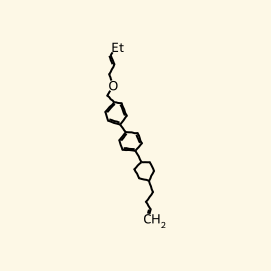 C=CCCC1CCC(c2ccc(-c3ccc(COCC=CCC)cc3)cc2)CC1